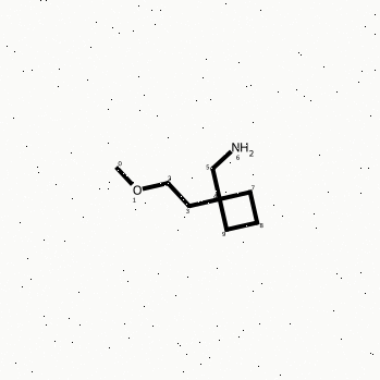 COCCC1(CN)CCC1